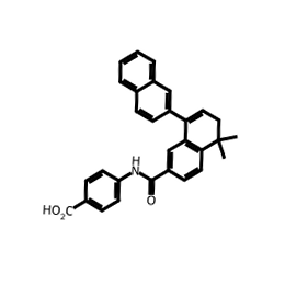 CC1(C)CC=C(c2ccc3ccccc3c2)c2cc(C(=O)Nc3ccc(C(=O)O)cc3)ccc21